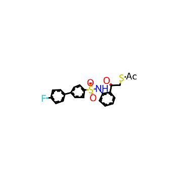 CC(=O)SCC(=O)c1ccccc1NS(=O)(=O)c1ccc(-c2ccc(F)cc2)cc1